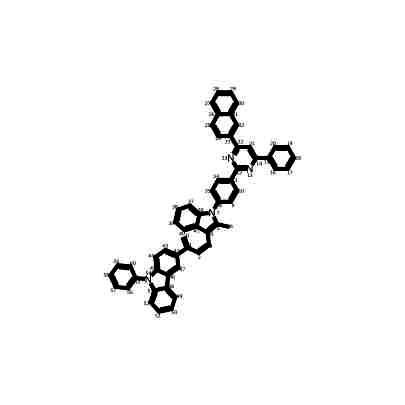 C=C(/C=C\c1c(C)n(-c2ccc(-c3nc(-c4ccccc4)cc(-c4ccc5ccccc5c4)n3)cc2)c2ccccc12)c1ccc2c(c1)c1ccccc1n2-c1ccccc1